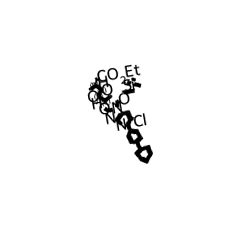 CCOC(=O)C[C@@H]1CO[C@H]2[C@@H]1OC[C@H]2Oc1nc2nc(-c3ccc(-c4ccccc4)cc3)c(Cl)cc2n1COCC[Si](C)(C)C